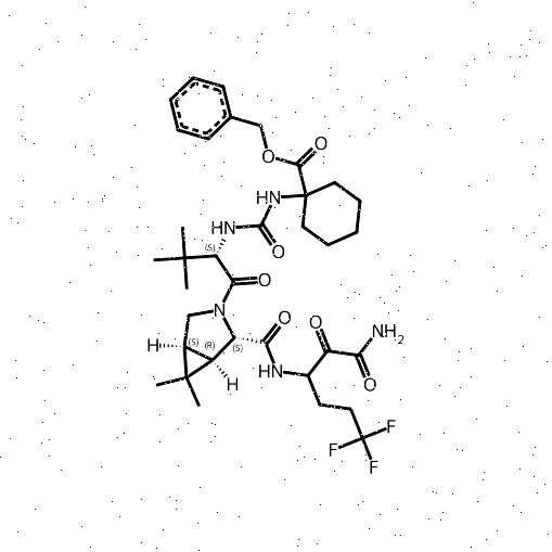 CC(C)(C)[C@H](NC(=O)NC1(C(=O)OCc2ccccc2)CCCCC1)C(=O)N1C[C@H]2[C@@H]([C@H]1C(=O)NC(CCC(F)(F)F)C(=O)C(N)=O)C2(C)C